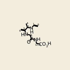 C=CNC(C)C(=C)NCC(=O)NCC(=O)O